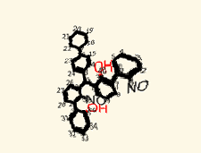 O=Nc1ccccc1-c1cccc(C(c2ccc(C3CCCCC3)cc2)c2cccc(-c3ccccc3O)c2N=O)c1O